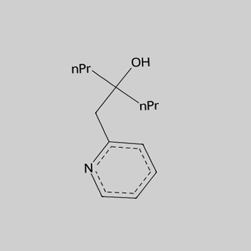 CCCC(O)(CCC)Cc1ccccn1